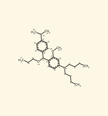 CCCCN(CCCC)c1ccc(C(OCCC)c2ccc(N(C)C)cc2)c(OC)c1